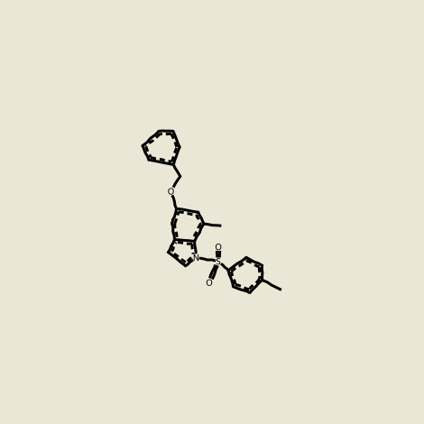 Cc1ccc(S(=O)(=O)n2ccc3cc(OCc4ccccc4)cc(C)c32)cc1